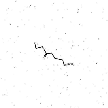 C=CCCCC(=O)CCC